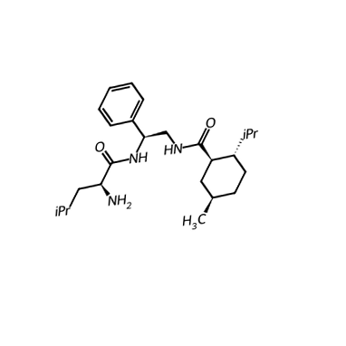 CC(C)C[C@H](N)C(=O)N[C@H](CNC(=O)[C@@H]1C[C@H](C)CC[C@H]1C(C)C)c1ccccc1